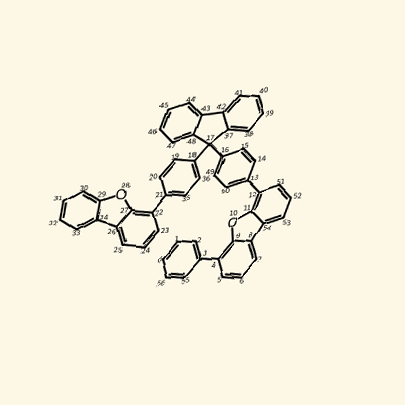 c1ccc(-c2cccc3c2oc2c(-c4ccc(C5(c6ccc(-c7cccc8c7oc7ccccc78)cc6)c6ccccc6-c6ccccc65)cc4)cccc23)cc1